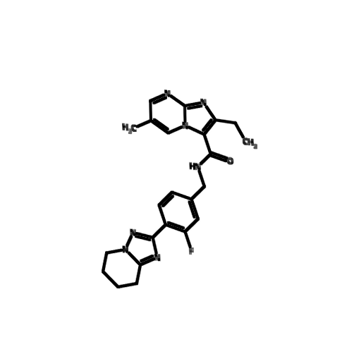 CCc1nc2ncc(C)cn2c1C(=O)NCc1ccc(-c2nc3n(n2)CCCC3)c(F)c1